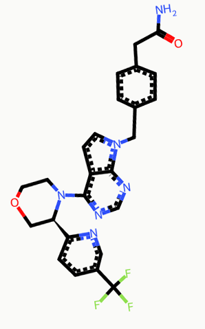 NC(=O)Cc1ccc(Cn2ccc3c(N4CCOC[C@@H]4c4ccc(C(F)(F)F)cn4)ncnc32)cc1